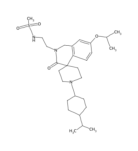 CC(C)Oc1ccc2c(c1)CN(CCNS(C)(=O)=O)C(=O)C21CCN(C2CCC(C(C)C)CC2)CC1